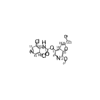 COc1ncc(OC(=O)Nc2c(Cl)cncc2Cl)c2cc(C(C)=O)oc12